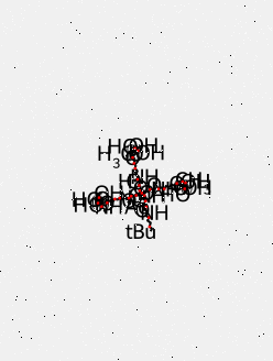 CC(=O)NC1[C@H](OCCCCCCNC(=O)CCOCC(COCCC(=O)NCCCCCCO[C@@H]2OC(CO)[C@H](O)[C@H](O)C2C)(COCCC(=O)NCCCCCCO[C@@H]2OC(CO)[C@H](O)[C@H](O)C2C)NC(=O)CCCC(=O)NCCCCCCC(C)(C)C)OC(CO)[C@H](O)[C@@H]1O